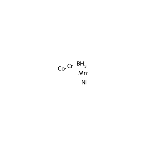 B.[Co].[Cr].[Mn].[Ni]